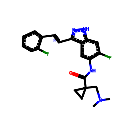 CN(C)CC1(C(=O)Nc2cc3c(/C=C/c4ccccc4F)n[nH]c3cc2F)CC1